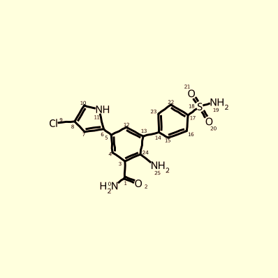 NC(=O)c1cc(-c2cc(Cl)c[nH]2)cc(-c2ccc(S(N)(=O)=O)cc2)c1N